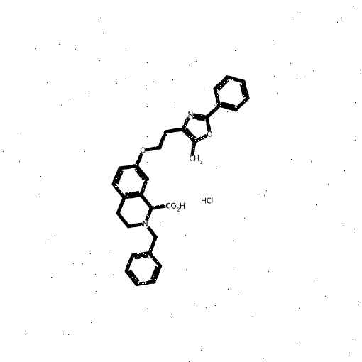 Cc1oc(-c2ccccc2)nc1CCOc1ccc2c(c1)C(C(=O)O)N(Cc1ccccc1)CC2.Cl